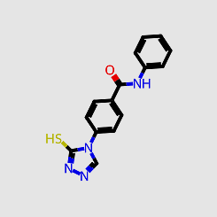 O=C(Nc1ccccc1)c1ccc(-n2cnnc2S)cc1